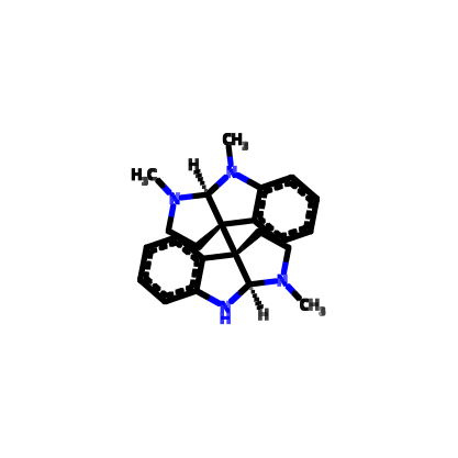 CN1CC[C@]2([C@]34CCN(C)[C@H]3N(C)c3ccccc34)c3ccccc3N[C@H]12